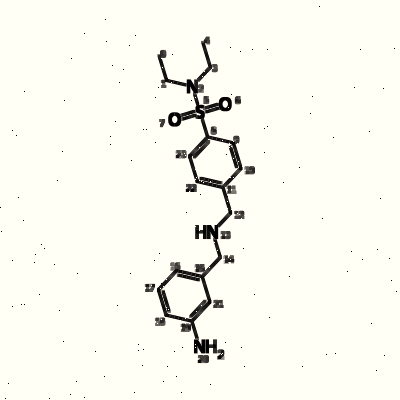 CCN(CC)S(=O)(=O)c1ccc(CNCc2cccc(N)c2)cc1